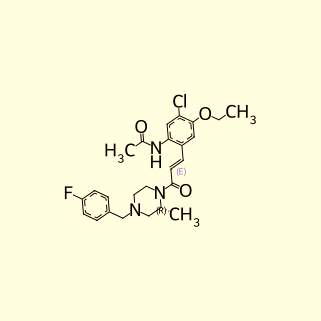 CCOc1cc(/C=C/C(=O)N2CCN(Cc3ccc(F)cc3)C[C@H]2C)c(NC(C)=O)cc1Cl